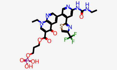 CCNC(=O)Nc1cc(-c2nc(C(F)(F)F)cs2)c(-c2cnc3c(c2)c(=O)c(C(=O)OCCCOP(=O)(O)O)cn3CC)cn1